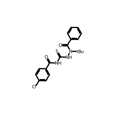 CC(C)(C)N(NC(=S)NC(=O)c1ccc(Cl)cc1)C(=O)c1ccccc1